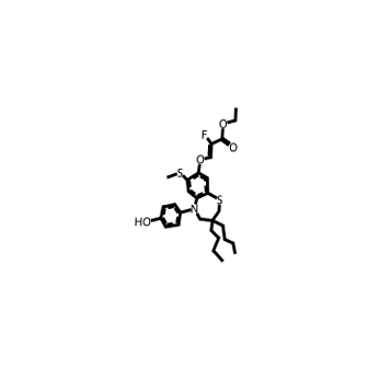 CCCCC1(CCCC)CSc2cc(O/C=C(\F)C(=O)OCC)c(SC)cc2N(c2ccc(O)cc2)C1